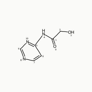 O=C(CO)Nc1ccncn1